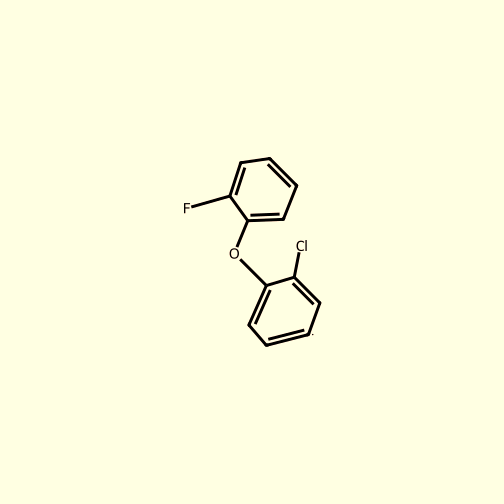 Fc1ccccc1Oc1cc[c]cc1Cl